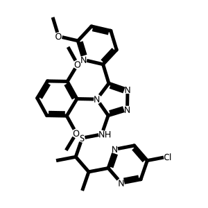 COc1cccc(-c2nnc(NSC(C)C(C)c3ncc(Cl)cn3)n2-c2c(OC)cccc2OC)n1